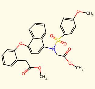 COC(=O)Cc1ccccc1Oc1ccc(N(CC(=O)OC)S(=O)(=O)c2ccc(OC)cc2)c2ccccc12